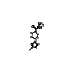 Cc1cnc([C@H]2CC[C@H](C(=O)NN)CC2)o1